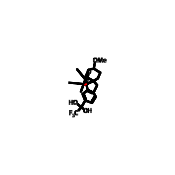 COC1CCC2(CC1)Cc1ccc(C(O)(O)C(F)(F)F)cc1C21N=C(C)N(C)C1=O